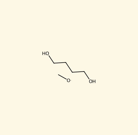 C[O].OCCCCO